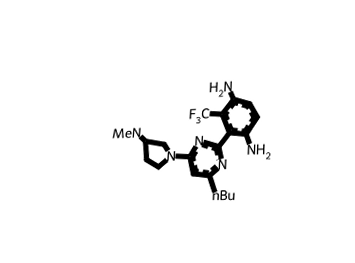 CCCCc1cc(N2CCC(NC)C2)nc(-c2c(N)ccc(N)c2C(F)(F)F)n1